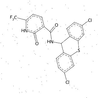 O=C(NC1c2ccc(Cl)cc2Sc2cc(Cl)ccc21)c1ccc(C(F)(F)F)[nH]c1=O